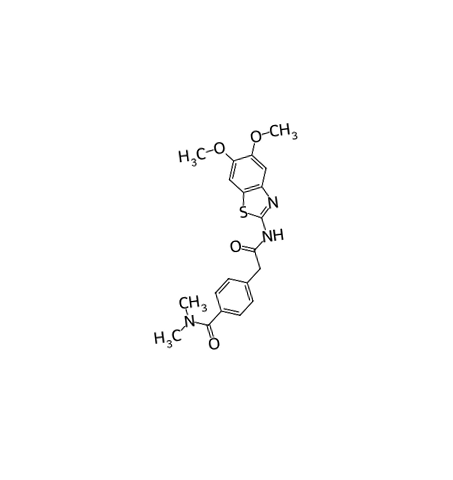 COc1cc2nc(NC(=O)Cc3ccc(C(=O)N(C)C)cc3)sc2cc1OC